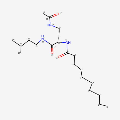 CCCCCCCCCC(=O)N[C@@H](CNC(C)=O)C(=O)NCCC(C)C